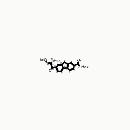 CCCCCCC(=O)c1ccc2c(c1)Cc1cc(C(=O)/C(CCCCCC)=N/OC(C)=O)ccc1-2